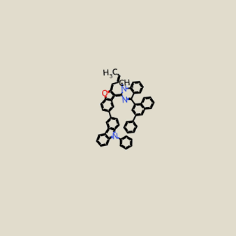 C\C=C/C=c1/oc2ccc(-c3ccc4c(c3)c3ccccc3n4-c3ccccc3)cc2/c1=C1\N=C(c2cc(-c3ccccc3)cc3ccccc23)c2ccccc2N1C